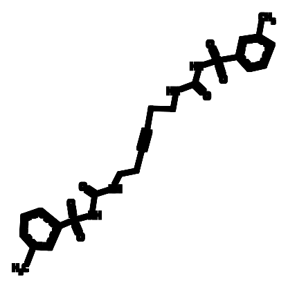 Cc1cccc(S(=O)(=O)NC(=O)NCCC#CCCNC(=O)NS(=O)(=O)c2cccc(C)c2)c1